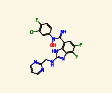 N=C(c1cc(F)c(F)c2nc(NCc3ncccn3)[nH]c12)N(O)c1ccc(F)c(Cl)c1